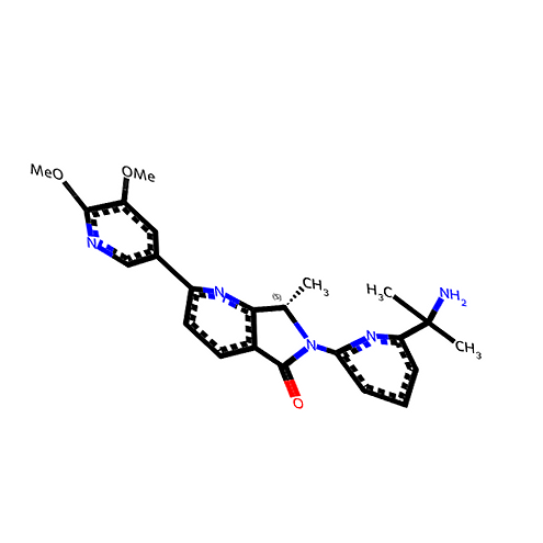 COc1cc(-c2ccc3c(n2)[C@H](C)N(c2cccc(C(C)(C)N)n2)C3=O)cnc1OC